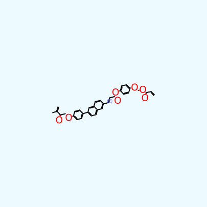 C=CC(=O)OCOc1ccc(OC(=O)/C=C/c2ccc3cc(-c4ccc(OCC(=O)C(=C)C)cc4)ccc3c2)cc1